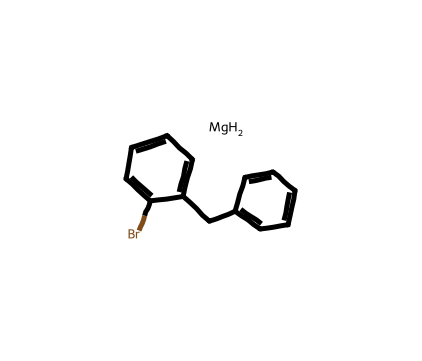 Brc1ccccc1Cc1ccccc1.[MgH2]